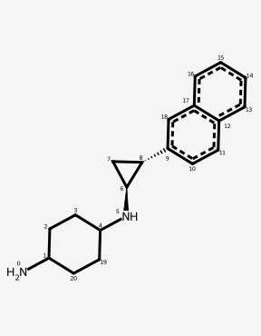 NC1CCC(N[C@H]2C[C@@H]2c2ccc3ccccc3c2)CC1